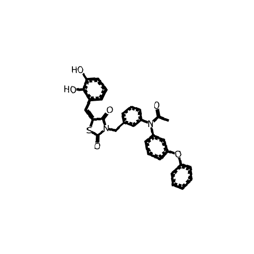 CC(=O)N(c1cccc(CN2C(=O)SC(=Cc3cccc(O)c3O)C2=O)c1)c1cccc(Oc2ccccc2)c1